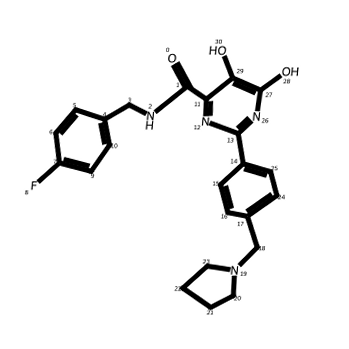 O=C(NCc1ccc(F)cc1)c1nc(-c2ccc(CN3CCCC3)cc2)nc(O)c1O